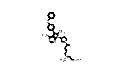 COCCN(C)C/C=C/C(=O)N1CCC(n2c(C)c(-c3ccc(Oc4ccccc4)cc3)c3c(N)ncnc32)C1